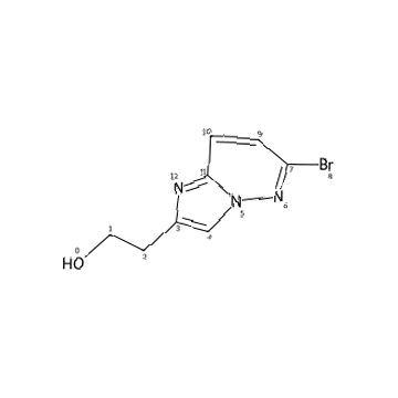 OCCc1cn2nc(Br)ccc2n1